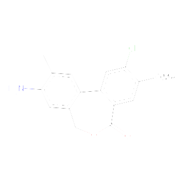 COc1cc2c(cc1Cl)-c1cc(C)c(N)cc1COC2=O